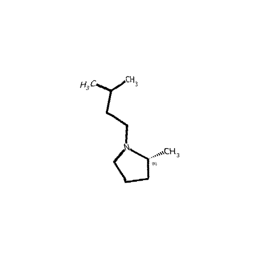 CC(C)CCN1CCC[C@H]1C